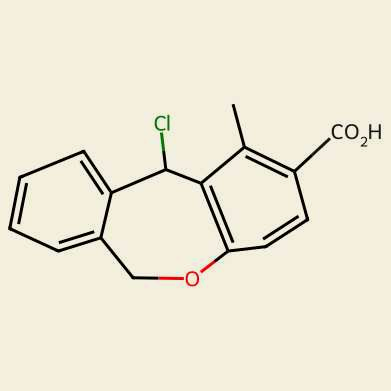 Cc1c(C(=O)O)ccc2c1C(Cl)c1ccccc1CO2